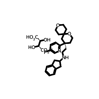 Fc1ccc([C@]2(CCNC3Cc4ccccc4C3)CCOC3(CCOCC3)C2)nc1.O=C(O)[C@H](O)[C@@H](O)C(=O)O